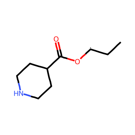 CC[CH]OC(=O)C1CCNCC1